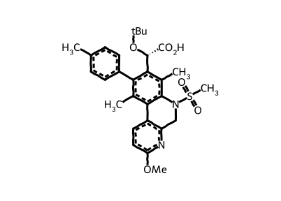 COc1ccc2c(n1)CN(S(C)(=O)=O)c1c(C)c([C@H](OC(C)(C)C)C(=O)O)c(-c3ccc(C)cc3)c(C)c1-2